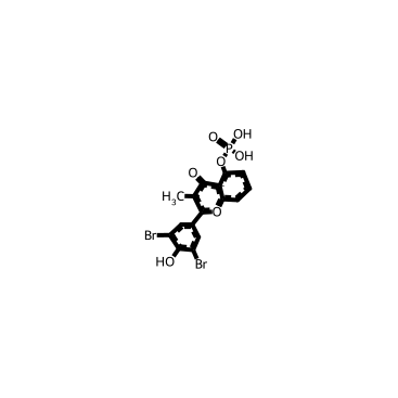 Cc1c(-c2cc(Br)c(O)c(Br)c2)oc2cccc(OP(=O)(O)O)c2c1=O